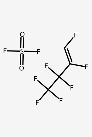 FC=C(F)C(F)(F)C(F)(F)F.O=S(=O)(F)F